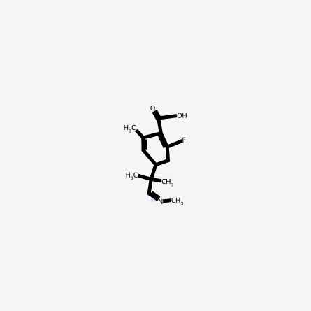 C/N=C\C(C)(C)C1C=C(C)C(C(=O)O)=C(F)C1